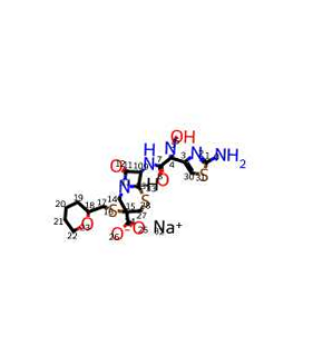 Nc1nc(C(=NO)C(=O)NC2C(=O)N3CC(SCC4CCCCO4)(C(=O)[O-])CS[C@H]23)cs1.[Na+]